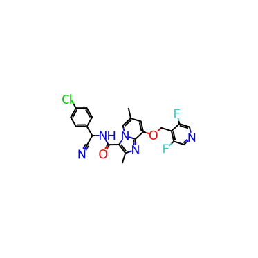 Cc1cc(OCc2c(F)cncc2F)c2nc(C)c(C(=O)NC(C#N)c3ccc(Cl)cc3)n2c1